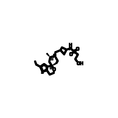 CCc1cc2c(s1)CCO[C@@]21CCN(CC2CC(NS(=O)(=O)CCO)C2)[C@@H](C)C1